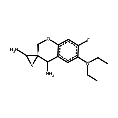 CCN(CC)c1cc2c(cc1F)OC[C@]1(SC1N)C2N